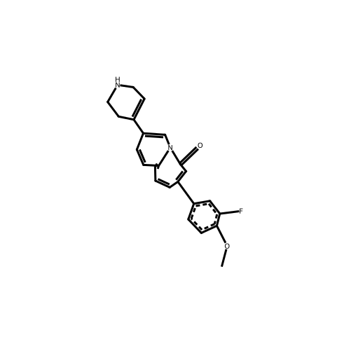 COc1ccc(C2=C\C(=O)N3C=C(C4=CCNCC4)C=C\C3=C/C=C/2)cc1F